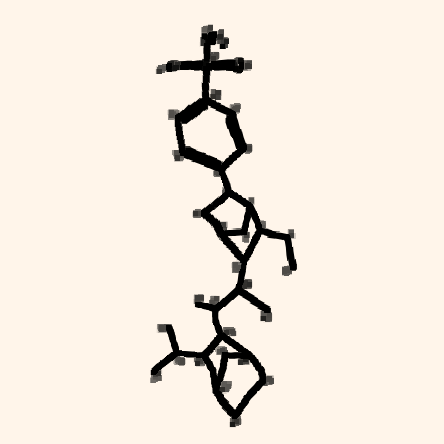 CCC1C2CC(CC2c2ccc(S(N)(=O)=O)cc2)C1C(C)C(C)C1C2CCC(C2)C1C(C)C